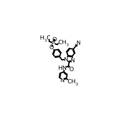 CCP(=O)(CC)Oc1ccc(Cn2c(C(=O)Nc3ccnc(C)c3)nc3cc(C#N)ccc32)cc1